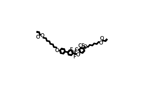 C=CC(=O)OCCCCCCCCOc1ccc(-c2ccc(C(F)(F)Oc3ccc(OCCCCCCOC(=O)C=C)c(C(F)(F)F)c3C(F)(F)F)cc2)cc1